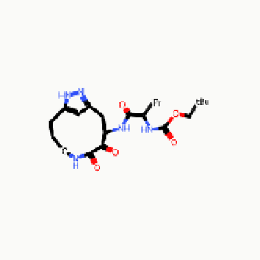 CC(C)C(NC(=O)OCC(C)(C)C)C(=O)NC1Cc2cc([nH]n2)CCCNC(=O)C1=O